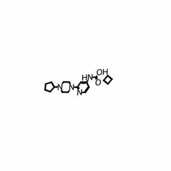 C1CCC1.O=C(O)Nc1ccnc(N2CCN(C3CCCC3)CC2)c1